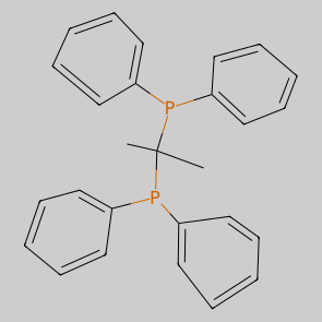 CC(C)(P(c1ccccc1)c1ccccc1)P(c1ccccc1)c1ccccc1